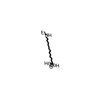 CCNCCCCCCCCCCCCCCP(=O)(O)O